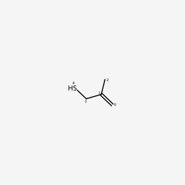 C=C(C)CS